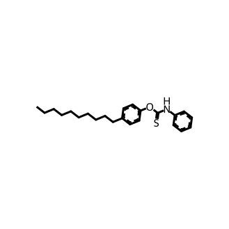 CCCCCCCCCCc1ccc(OC(=S)Nc2ccccc2)cc1